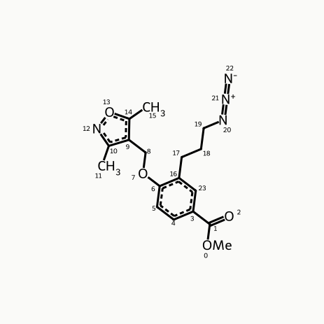 COC(=O)c1ccc(OCc2c(C)noc2C)c(CCCN=[N+]=[N-])c1